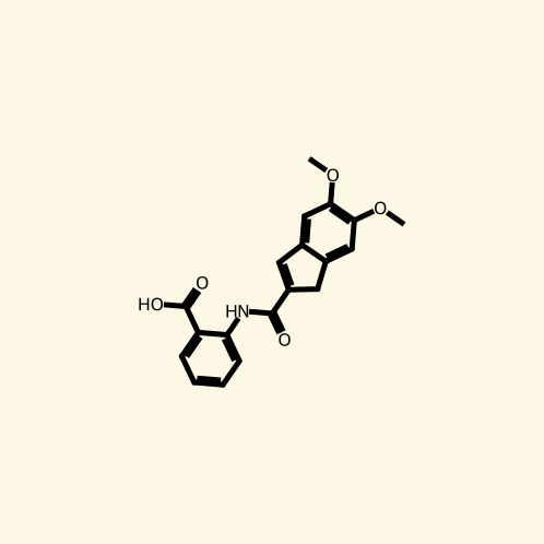 COc1cc2c(cc1OC)CC(C(=O)Nc1ccccc1C(=O)O)=C2